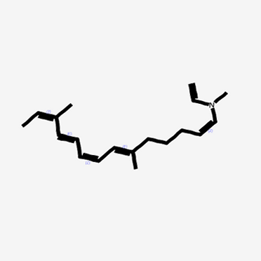 C=CN(C)/C=C\CCC/C(C)=C/C=C\C=C\C(C)=C/C